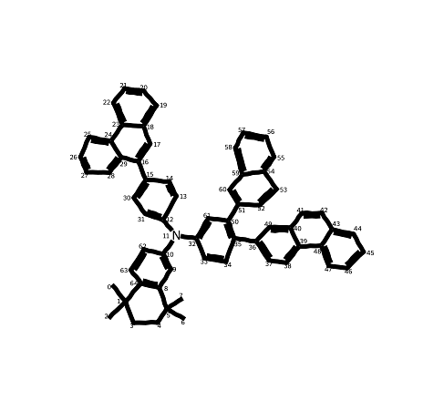 CC1(C)CCC(C)(C)c2cc(N(c3ccc(-c4cc5ccccc5c5ccccc45)cc3)c3ccc(-c4ccc5c(ccc6ccccc65)c4)c(-c4ccc5ccccc5c4)c3)ccc21